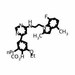 CCCc1cc(-c2cc(NCCn3c(C)cc4c(C)ccc(F)c43)ncn2)cc(OCC)c1C(=O)O